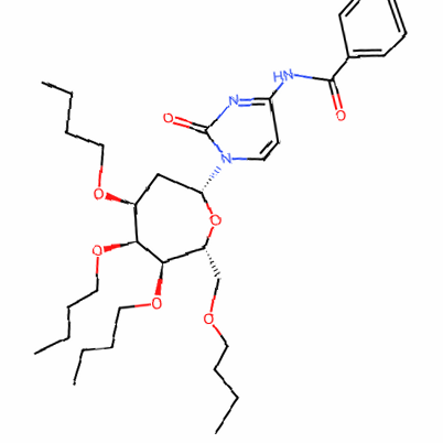 CCCCOC[C@H]1O[C@@H](n2ccc(NC(=O)c3ccccc3)nc2=O)C[C@H](OCCCC)[C@H](OCCCC)[C@@H]1OCCCC